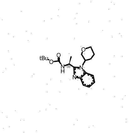 C[C@H](NC(=O)OC(C)(C)C)c1nc2ccccc2n1C1CCCOC1